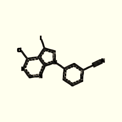 N#Cc1cccc(-n2cc(I)c3c(Cl)ncnc32)c1